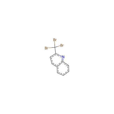 BrC(Br)(Br)c1ccc2ccccc2n1